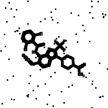 CC(=O)N1CCN(n2c(C(F)(F)F)nc3c(NC(=O)c4c(Cl)cccc4Cl)c(C=C=O)ccc32)CC1